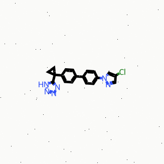 Clc1[c]n(-c2ccc(-c3ccc(C4(c5nnn[nH]5)CC4)cc3)cc2)nc1